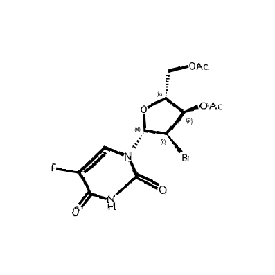 CC(=O)OC[C@H]1O[C@@H](n2cc(F)c(=O)[nH]c2=O)[C@H](Br)[C@@H]1OC(C)=O